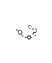 Cc1ccc(C(=O)NCC2=CCC(C(F)(F)F)=CC=C2)cc1Nc1ncnc2c1N=C(N1CC[C@@H](F)C1)N=CC2